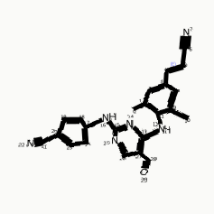 Cc1cc(/C=C/C#N)cc(C)c1Nc1nc(Nc2ccc(C#N)cc2)ncc1C=O